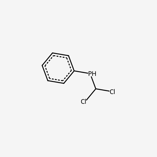 ClC(Cl)Pc1ccccc1